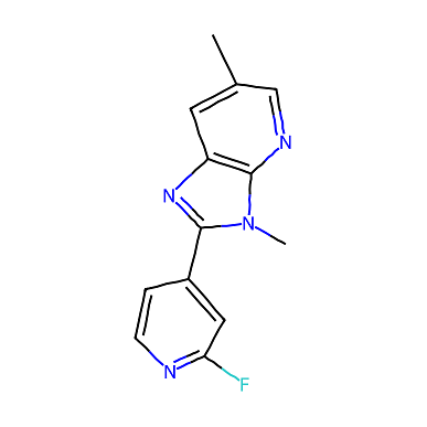 Cc1cnc2c(c1)nc(-c1ccnc(F)c1)n2C